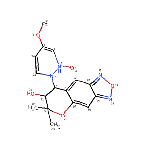 CCOC1=C[NH+]([O-])N(C2c3cc4nonc4cc3OC(C)(C)C2O)C=C1